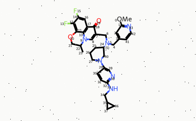 COc1cc(CN(Cc2cn3c4c(c(F)c(F)cc4c2=O)OCC3C)[C@H]2CCCN(c3ccc(NCC4CC4)nc3)C2)ccn1